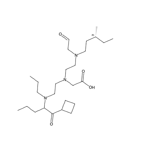 CCCC(C(=O)C1CCC1)N(CCC)CCN(CCN(CC=O)CC[C@H](C)CC)CC(=O)O